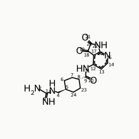 N=C(N)NC[C@H]1CC[C@H](C(=O)Nc2ccnc3c2C(=O)C(=O)N3)CC1